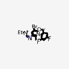 CCN(C)/C=N\c1cc(Br)c(O[C@H](C)c2cc(F)cc(F)c2)nc1C